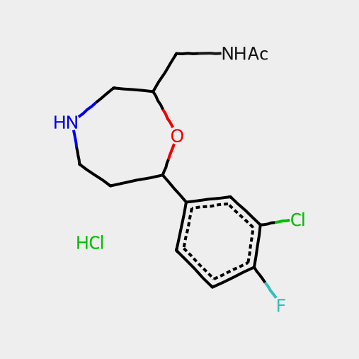 CC(=O)NCC1CNCCC(c2ccc(F)c(Cl)c2)O1.Cl